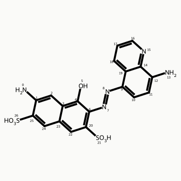 Nc1cc2c(O)c(/N=N/c3ccc(N)c4ncccc34)c(S(=O)(=O)O)cc2cc1S(=O)(=O)O